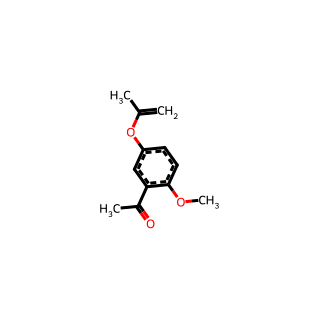 C=C(C)Oc1ccc(OC)c(C(C)=O)c1